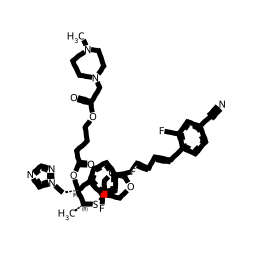 C[C@@H](S[C@H]1CO[C@H](C=CC=Cc2ccc(C#N)cc2F)OC1)[C@@](Cn1cncn1)(OC(=O)CCCOC(=O)CN1CCN(C)CC1)c1ccc(F)cc1F